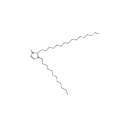 CCCCCCCCCCCCCCCCC1N(C)C=CN1CCCCCCCCCCCC